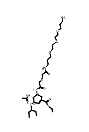 CCOC(=O)C1=C[C@@H](OC(CC)CC)[C@H](NC(C)=O)[C@@H](NC(=O)COCC(=O)NCCCOCCOCCOCCCN)C1